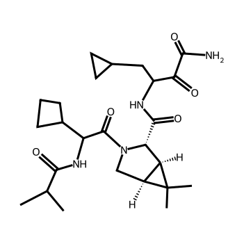 CC(C)C(=O)NC(C(=O)N1C[C@H]2[C@@H]([C@H]1C(=O)NC(CC1CC1)C(=O)C(N)=O)C2(C)C)C1CCC1